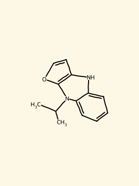 CC(C)N1c2ccccc2Nc2ccoc21